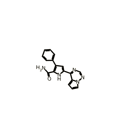 NC(=O)c1[nH]c(-c2ncnn3cccc23)cc1-c1ccccc1